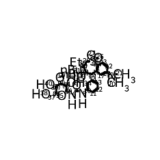 CCCCO[C@@H]1[C@@H](O)[C@H](NC(=O)Nc2cccc([C@H]3c4cc(N(C)C)ccc4S(=O)(=O)C[C@@](CC)(CCCC)[C@H]3O)c2)O[C@H](CO)[C@H]1O